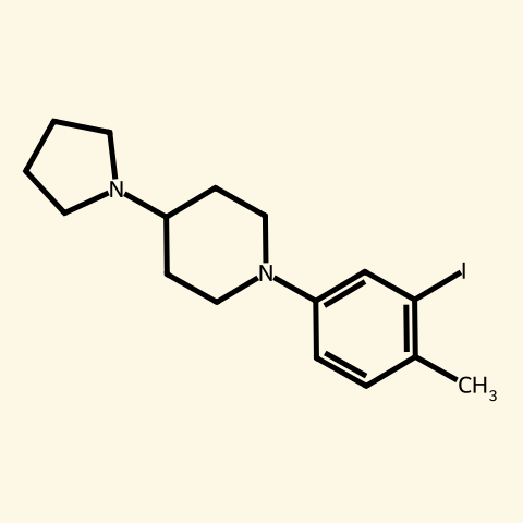 Cc1ccc(N2CCC(N3CCCC3)CC2)cc1I